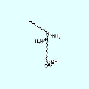 CC(=O)O.CC(=O)O.CCCCCCCCCCCCN(CCN)CCN(CCN)CCCCCCCCCCCC